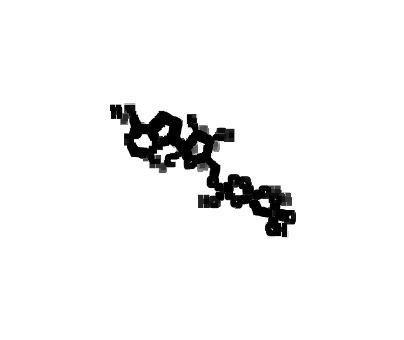 C[C@@]1(c2ccc3c(N)ncnn23)O[C@H](COP(=O)(O)OP(=O)(O)CP(=O)(O)O)[C@@H](O)[C@H]1F